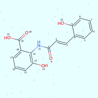 O=C(/C=C/c1ccccc1O)Nc1c(O)cccc1C(=O)O